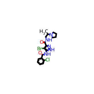 CC(CNC(=O)c1n[nH]c(NC(=O)c2ccccc2Cl)c1Br)N1CCCC1